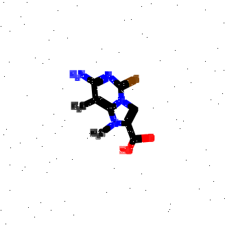 Cc1c(N)nc(=S)n2cc(C(=O)O)n(C)c12